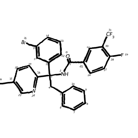 O=C(NC(Cc1ccccc1)(c1cccc(Br)c1)c1ccc(Cl)cn1)c1ccc(F)c(C(F)(F)F)c1